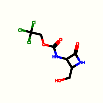 O=C(NC1C(=O)NC1CO)OCC(Cl)(Cl)Cl